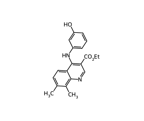 CCOC(=O)c1cnc2c(C)c(C)ccc2c1Nc1cccc(O)c1